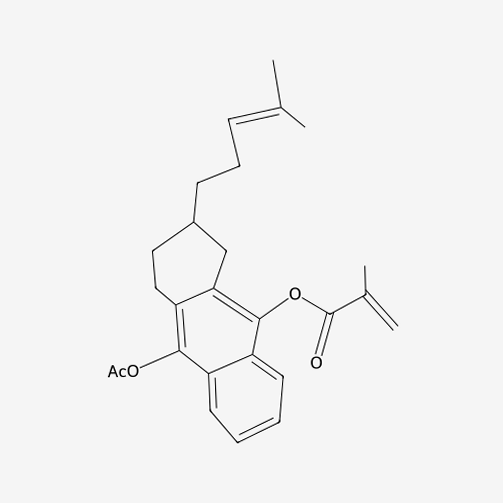 C=C(C)C(=O)Oc1c2c(c(OC(C)=O)c3ccccc13)CCC(CCC=C(C)C)C2